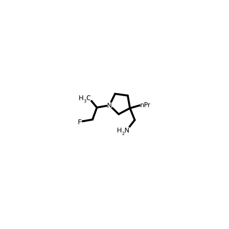 CCCC1(CN)CCN(C(C)CF)C1